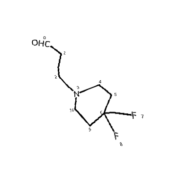 O=CCCN1CCC(F)(F)CC1